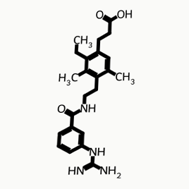 CCc1c(CCC(=O)O)cc(C)c(CCNC(=O)c2cccc(NC(=N)N)c2)c1C